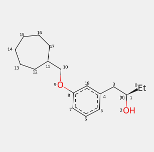 CC[C@@H](O)Cc1cccc(OCC2CCCCCC2)c1